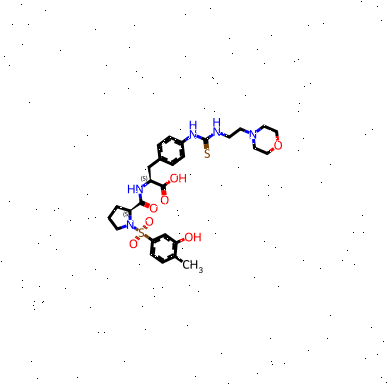 Cc1ccc(S(=O)(=O)N2CCC[C@H]2C(=O)N[C@@H](Cc2ccc(NC(=S)NCCN3CCOCC3)cc2)C(=O)O)cc1O